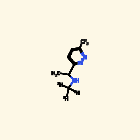 [2H]C([2H])([2H])NC(C)c1ccc(C(F)(F)F)nn1